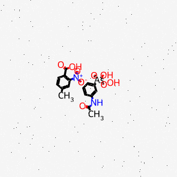 CC(=O)Nc1cccc([As](=O)(O)OO)c1.Cc1ccc(C(=O)O)c([N+](=O)[O-])c1